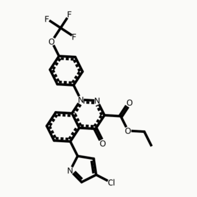 CCOC(=O)c1nn(-c2ccc(OC(F)(F)F)cc2)c2cccc(C3C=C(Cl)C=N3)c2c1=O